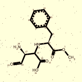 COC(=O)[C@H](Cc1ccccc1)NC(C(=O)O)[C@H](N)C=O